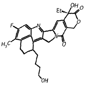 CC[C@@]1(O)C(=O)OCc2c1cc1n(c2=O)Cc2c-1nc1cc(F)c(C)c3c1c2C(CCCCO)CC3